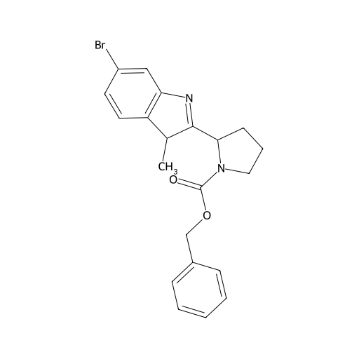 CC1C(C2CCCN2C(=O)OCc2ccccc2)=Nc2cc(Br)ccc21